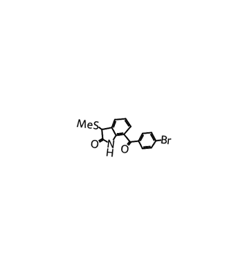 CSC1C(=O)Nc2c(C(=O)c3ccc(Br)cc3)cccc21